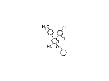 Cc1ccc(-c2cc(C#N)c(OCC3CCCCC3)nc2-c2ccc(Cl)cc2Cl)cc1